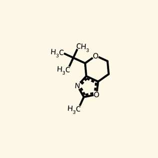 Cc1nc2c(o1)CCOC2C(C)(C)C